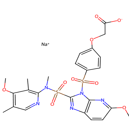 COc1ccc2nc(S(=O)(=O)N(C)c3ncc(C)c(OC)c3C)n(S(=O)(=O)c3ccc(OCC(=O)[O-])cc3)c2n1.[Na+]